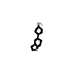 Nc1ccc(-c2ccc3sccc3c2)cc1